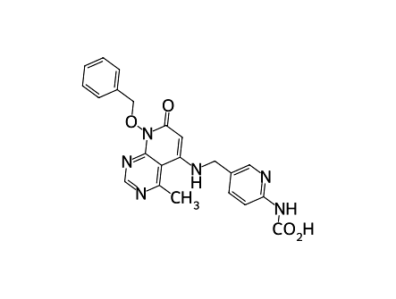 Cc1ncnc2c1c(NCc1ccc(NC(=O)O)nc1)cc(=O)n2OCc1ccccc1